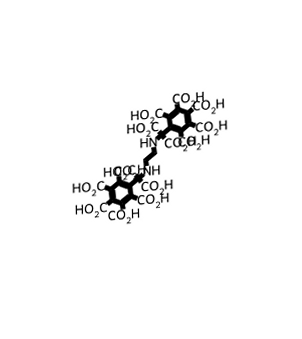 O=C(O)c1c(C(=O)O)c(C(=O)O)c(C(NCCNC(C(=O)O)(C(=O)O)c2c(C(=O)O)c(C(=O)O)c(C(=O)O)c(C(=O)O)c2C(=O)O)(C(=O)O)C(=O)O)c(C(=O)O)c1C(=O)O